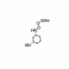 CSOONc1cccc(C(C)(C)C)c1